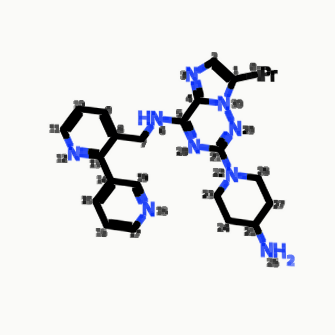 CC(C)c1cnc2c(NCc3cccnc3-c3cccnc3)nc(N3CCC(N)CC3)nn12